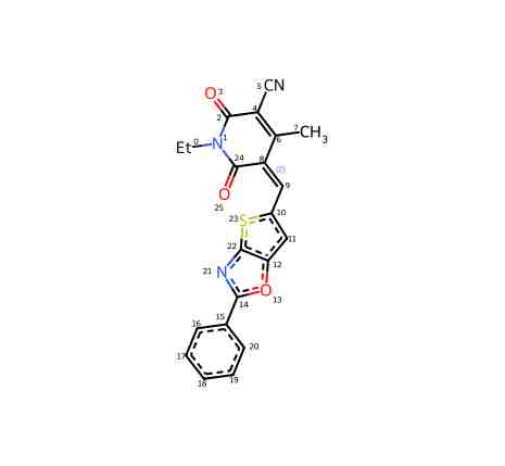 CCN1C(=O)C(C#N)=C(C)/C(=C/c2cc3oc(-c4ccccc4)nc3s2)C1=O